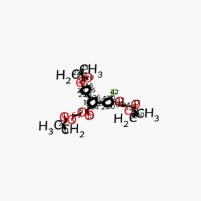 C=C(C)C(=O)OCCOC(=O)c1cc(-c2ccc(OC(=O)C(=C)C)cc2)cc(-c2ccc(OCCOC(=O)C(=C)C)c(F)c2)c1